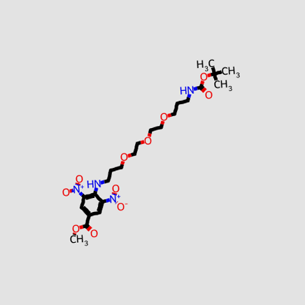 COC(=O)c1cc([N+](=O)[O-])c(NCCCOCCOCCOCCCNC(=O)OC(C)(C)C)c([N+](=O)[O-])c1